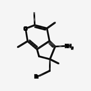 CC1=C(C)C2=C(N)C(C)(CBr)CC2=C(C)O1